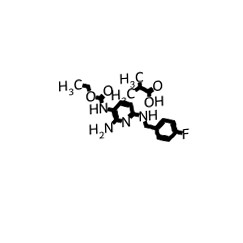 CC(C)C(=O)O.CCOC(=O)Nc1ccc(NCc2ccc(F)cc2)nc1N